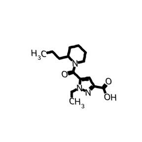 CCCC1CCCCN1C(=O)c1cc(C(=O)O)nn1CC